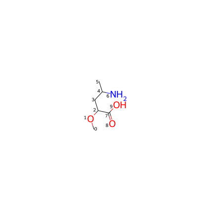 COC(CC(C)N)C(=O)O